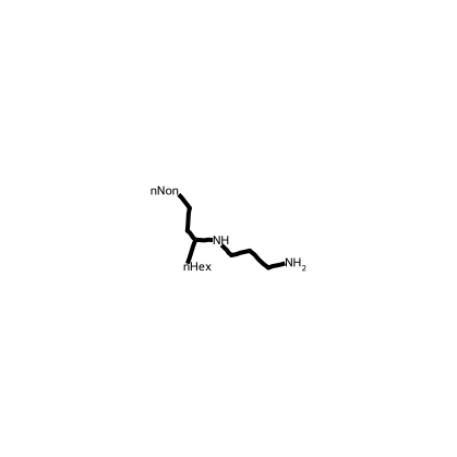 CCCCCCCCCCCC(CCCCCC)NCCCN